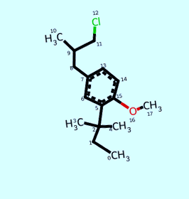 CCC(C)(C)c1cc(CC(C)CCl)ccc1OC